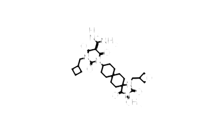 CN1C(=O)N(CC2COC2)C2(CCC3(CCC(N4C(=O)C(=C(N)N)C(=O)N(CC5CCC5)C4=O)CC3)CC2)C1=O